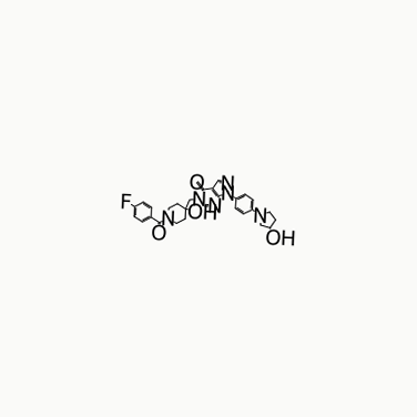 O=C(c1ccc(F)cc1)N1CCC(O)(Cn2cnc3c(cnn3-c3ccc(N4CC[C@H](O)C4)cc3)c2=O)CC1